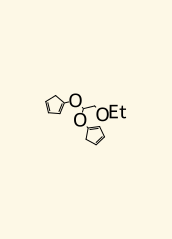 [CH2]COCC(OC1=CC=CC1)OC1=CC=CC1